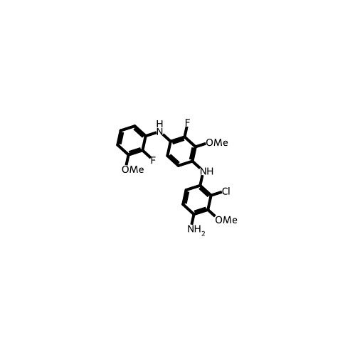 COc1cccc(Nc2ccc(Nc3ccc(N)c(OC)c3Cl)c(OC)c2F)c1F